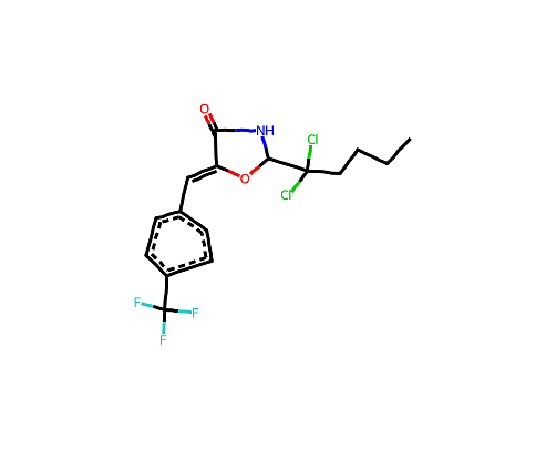 CCCCC(Cl)(Cl)C1NC(=O)C(=Cc2ccc(C(F)(F)F)cc2)O1